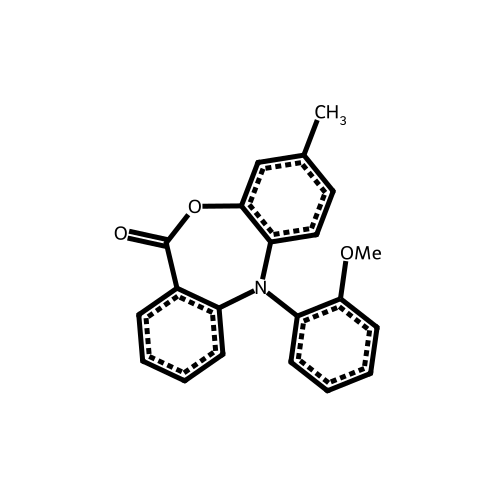 COc1ccccc1N1c2ccc(C)cc2OC(=O)c2ccccc21